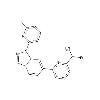 CCC(N)c1cccc(C2=CC3C(C=C2)C=NN3c2cccc(C)n2)n1